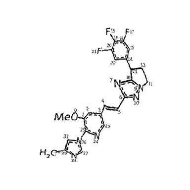 COc1cc(C=Cc2nc3n(n2)CCC3c2cc(F)c(F)c(F)c2)cnc1-n1cnc(C)c1